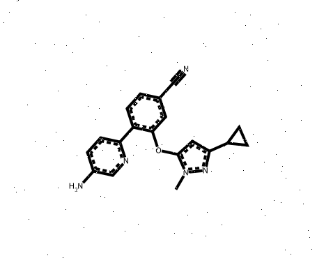 Cn1nc(C2CC2)cc1Oc1cc(C#N)ccc1-c1ccc(N)cn1